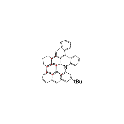 CC(C)(C)c1ccc(-c2ccccc2)c(N(c2ccccc2-c2cccc3ccccc23)c2ccccc2-c2cccc3cccc(C4CCCCC4)c23)c1